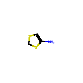 NC1=CSCS1